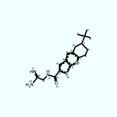 CC(C)(C)C1CCc2nc3sc(C(=O)NCC(=N)N)cc3cc2C1